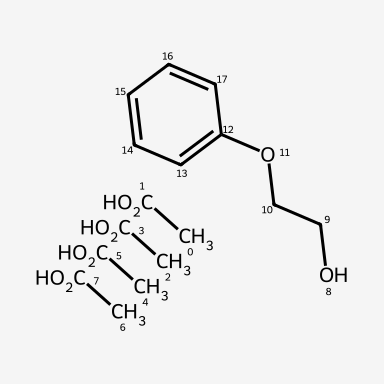 CC(=O)O.CC(=O)O.CC(=O)O.CC(=O)O.OCCOc1ccccc1